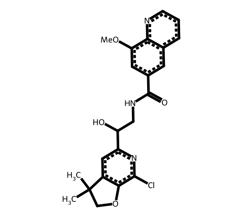 COc1cc(C(=O)NCC(O)c2cc3c(c(Cl)n2)OCC3(C)C)cc2cccnc12